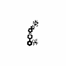 FC(F)(F)Oc1ccccc1C1CCN([C@@H]2CCC3(C2)CN(c2nncs2)C3)CC1